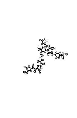 C=C1CCN(C(=O)c2cc(OC)c(OCCCC(=O)Nc3cn(C)c(C(=O)Nc4cc(C=O)n(C)c4)n3)cc2N(CO)C(=O)OCc2ccc(NC=O)cc2)C1